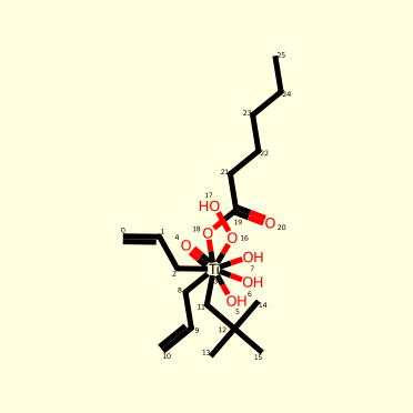 C=C[CH2][Ti](=[O])([OH])([OH])([OH])([CH2]C=C)([CH2]C(C)(C)C)([O]O)[O]C(=O)CCCCC